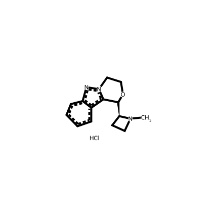 CN1CC[C@H]1C1OCCn2nc3ccccc3c21.Cl